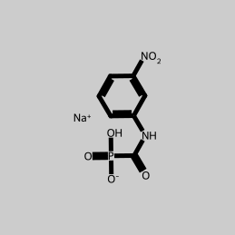 O=C(Nc1cccc([N+](=O)[O-])c1)P(=O)([O-])O.[Na+]